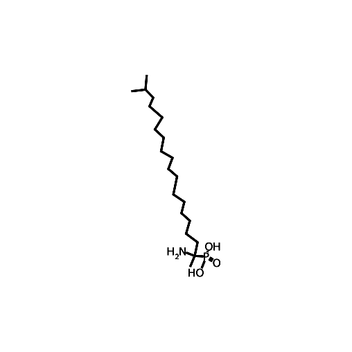 CC(C)CCCCCCCCCCCCCCCC(C)(N)P(=O)(O)O